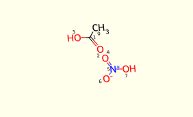 CC(=O)O.O=[N+]([O-])O